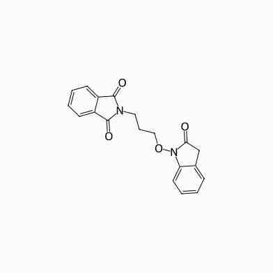 O=C1c2ccccc2C(=O)N1CCCON1C(=O)Cc2ccccc21